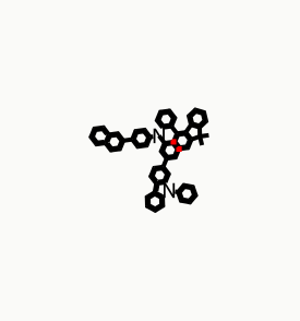 CC1(C)c2ccccc2-c2c(-c3ccccc3N(c3ccc(-c4ccc5ccccc5c4)cc3)c3cccc(-c4ccc5c6ccccc6n(-c6ccccc6)c5c4)c3)cccc21